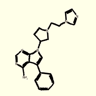 Nc1ncnc2c1c(-c1ccccc1)cn2C1CCN(CCn2ccnc2)C1